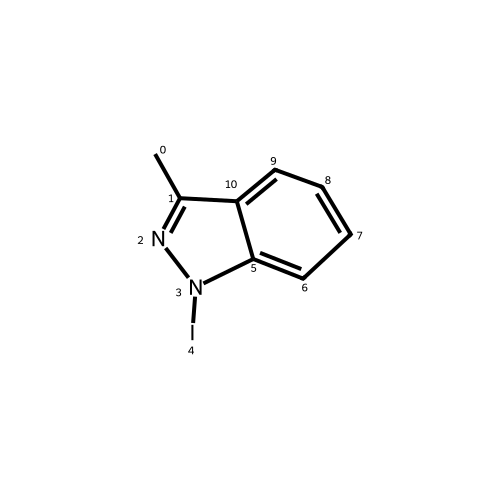 Cc1nn(I)c2ccccc12